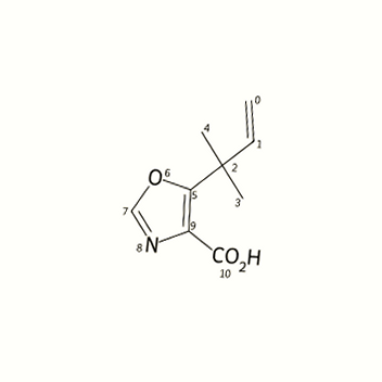 C=CC(C)(C)c1ocnc1C(=O)O